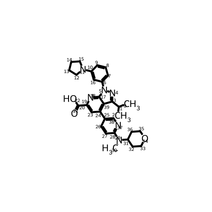 CC(C)c1nn(-c2cccc(N3CCCC3)c2)c2nc(C(=O)O)cc(-c3ccc(N(C)C4CCOCC4)nc3)c12